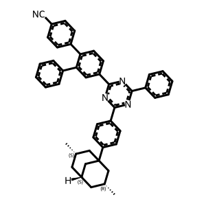 C[C@@H]1C[C@@H]2C[C@H](C)CC(c3ccc(-c4nc(-c5ccccc5)nc(-c5ccc(-c6ccc(C#N)cc6)c(-c6ccccc6)c5)n4)cc3)(C1)C2